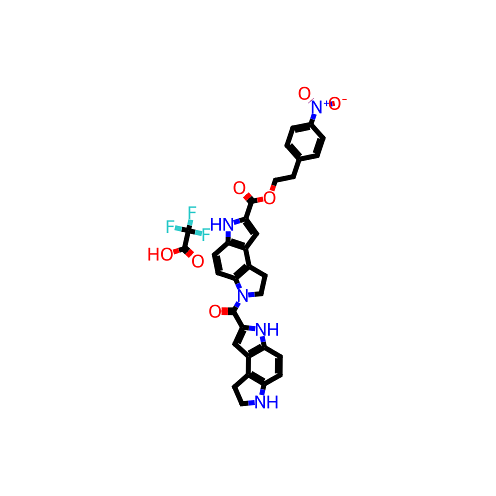 O=C(O)C(F)(F)F.O=C(OCCc1ccc([N+](=O)[O-])cc1)c1cc2c3c(ccc2[nH]1)N(C(=O)c1cc2c4c(ccc2[nH]1)NCC4)CC3